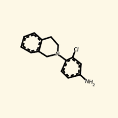 Nc1ccc(N2CCc3ccccc3C2)c(Cl)c1